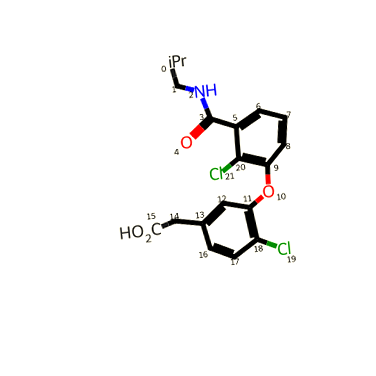 CC(C)CNC(=O)c1cccc(Oc2cc(CC(=O)O)ccc2Cl)c1Cl